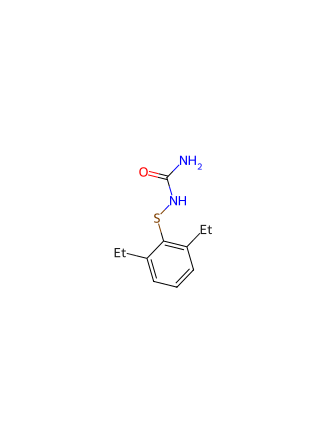 CCc1cccc(CC)c1SNC(N)=O